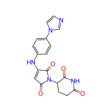 O=C1CCC(N2C(=O)C=C(Nc3ccc(-n4ccnc4)cc3)C2=O)C(=O)N1